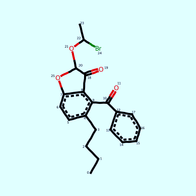 CCCCc1ccc2c(c1C(=O)c1ccccc1)C(=O)C(OC(C)Br)O2